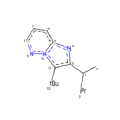 CC(C)C(C)c1nc2cccnn2c1C(C)(C)C